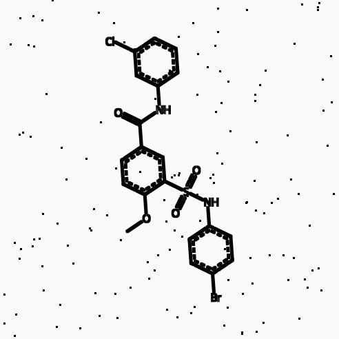 COc1ccc(C(=O)Nc2cccc(Cl)c2)cc1S(=O)(=O)Nc1ccc(Br)cc1